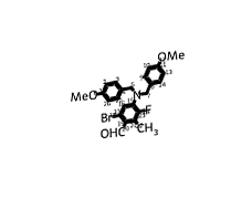 COc1ccc(CN(Cc2ccc(OC)cc2)c2cc(Br)c(C=O)c(C)c2F)cc1